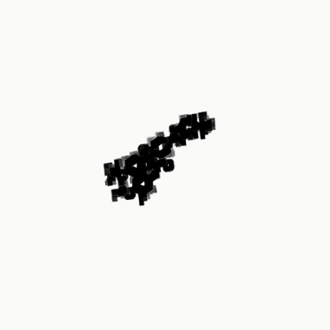 O=C(NCc1ccc(OC(F)F)c(F)c1)[C@H]1CN(c2nc3nc(C(F)(F)F)ncc3s2)CCN1S(=O)(=O)c1ccc(OC(F)(F)F)cc1